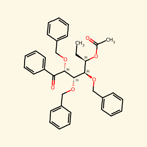 CC[C@@H](OC(C)=O)[C@@H](OCc1ccccc1)[C@H](OCc1ccccc1)[C@@H](OCc1ccccc1)C(=O)c1ccccc1